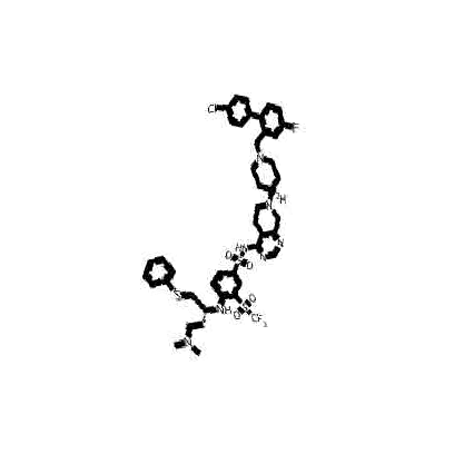 [2H]C1(N2CCc3c(ncnc3NS(=O)(=O)c3ccc(N[C@H](CCN(C)C)CSc4ccccc4)c(S(=O)(=O)C(F)(F)F)c3)C2)CCN(Cc2cc(F)ccc2-c2ccc(Cl)cc2)CC1